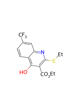 CCOC(=O)c1c(SCC)nc2cc(C(F)(F)F)ccc2c1O